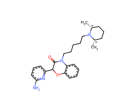 C[C@@H]1CCC[C@H](C)N1CCCCCN1C(=O)C(c2cccc(N)n2)Oc2ccccc21